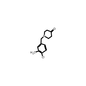 Cc1cc(CN2CCC(=O)CC2)ccc1Cl